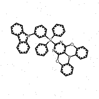 c1ccc([Si](c2ccccc2)(c2cccc(-n3c4ccccc4c4ccccc43)c2)c2nc3c4c(n2)Oc2ccccc2B4c2ccccc2O3)cc1